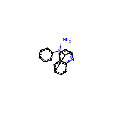 CN(c1ccccc1)C1c2ccc3nc1ccc3c2.N